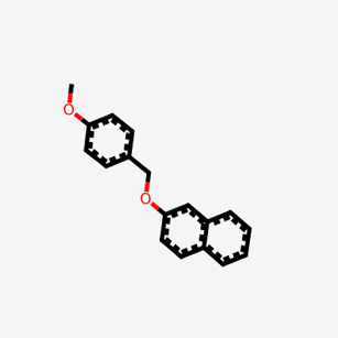 COc1ccc(COc2ccc3ccccc3c2)cc1